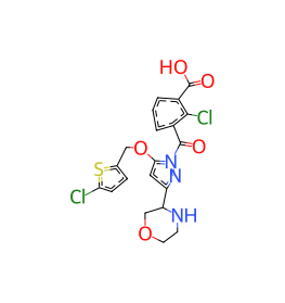 O=C(O)c1cccc(C(=O)n2nc(C3COCCN3)cc2OCc2ccc(Cl)s2)c1Cl